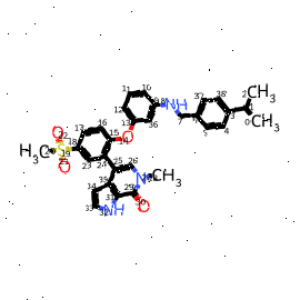 CC(C)c1ccc(CNc2cccc(Oc3ccc(S(C)(=O)=O)cc3-c3cn(C)c(=O)c4[nH]ccc34)c2)cc1